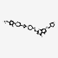 O=c1[nH]c(CSC2CCN(C3CN(C4CCN(c5ccc([N+](=O)[O-])cc5F)CC4)C3)CC2)nc2cc(OCC3CCOCC3)cc(F)c12